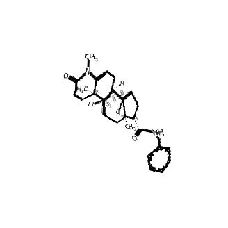 CN1C(=O)CC[C@@]2(C)C1=CC[C@H]1[C@@H]3CC[C@H](C(=O)Nc4ccccc4)[C@@]3(C)CC[C@@H]12